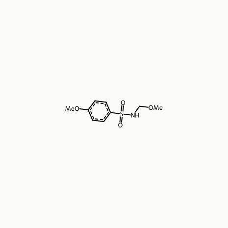 COCNS(=O)(=O)c1ccc(OC)cc1